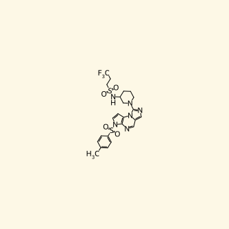 Cc1ccc(S(=O)(=O)n2ccc3c2ncc2cnc(N4CCCC(NS(=O)(=O)CCC(F)(F)F)C4)n23)cc1